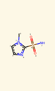 Cn1ccnc1S([NH])(=O)=O